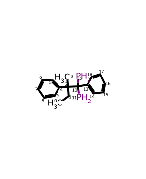 CCC(C)(c1ccccc1)C(P)(P)c1ccccc1